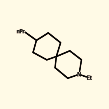 CCCC1CCC2(CC1)CCN(CC)CC2